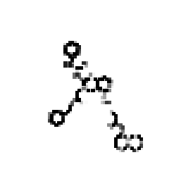 O=C(CCCOc1cccc2c1CN(CC(=O)OCc1ccccc1)C(NC(=O)Nc1ccccc1)=N2)NN1CCCC2CCCCC21